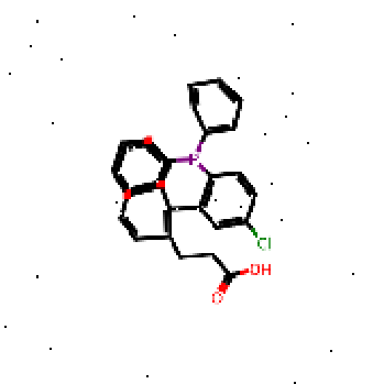 O=C(O)CCc1ccc2ccccc2c1-c1cc(Cl)ccc1P(c1ccccc1)c1ccccc1